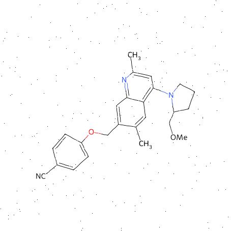 COCC1CCCN1c1cc(C)nc2cc(COc3ccc(C#N)cc3)c(C)cc12